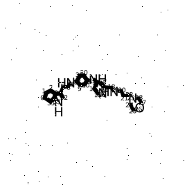 c1ccc2c(CCNc3ccc(Nc4ccnc(CNCCCN5CCOCC5)c4)cc3)c[nH]c2c1